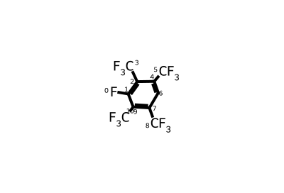 Fc1c(C(F)(F)F)c(C(F)(F)F)cc(C(F)(F)F)c1C(F)(F)F